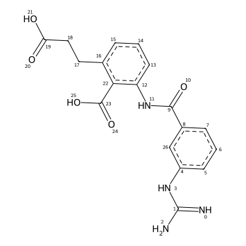 N=C(N)Nc1cccc(C(=O)Nc2cccc(CCC(=O)O)c2C(=O)O)c1